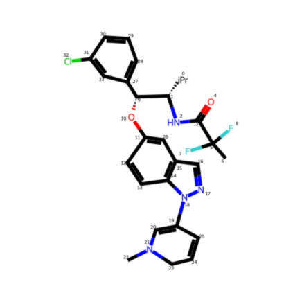 CC(C)[C@H](NC(=O)C(C)(F)F)[C@H](Oc1ccc2c(cnn2C2=CN(C)CC=C2)c1)c1cccc(Cl)c1